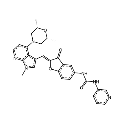 C[C@@H]1CN(c2ccnc3c2c(/C=C2\Oc4ccc(NC(=O)Nc5cccnc5)cc4C2=O)cn3C)C[C@H](C)O1